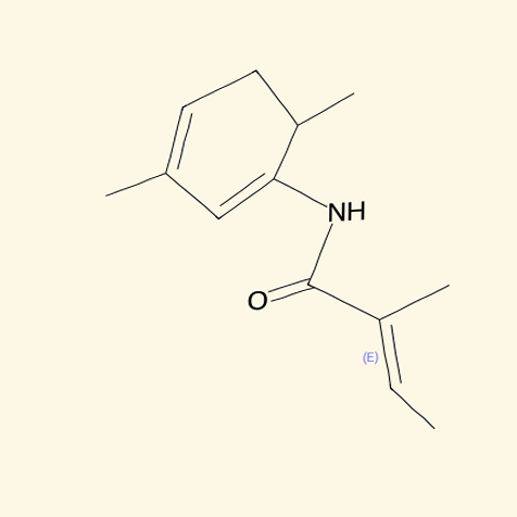 C/C=C(\C)C(=O)NC1=CC(C)=CCC1C